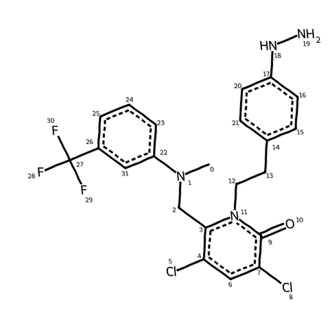 CN(Cc1c(Cl)cc(Cl)c(=O)n1CCc1ccc(NN)cc1)c1cccc(C(F)(F)F)c1